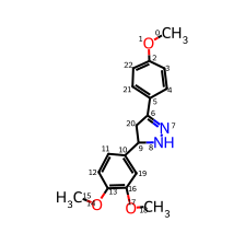 COc1ccc(C2=NNC(c3ccc(OC)c(OC)c3)C2)cc1